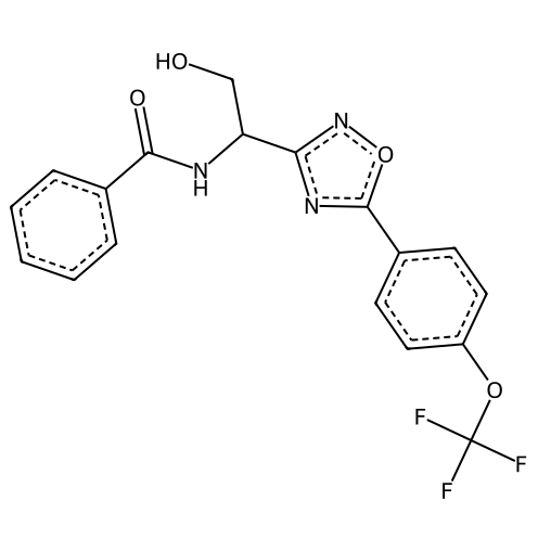 O=C(NC(CO)c1noc(-c2ccc(OC(F)(F)F)cc2)n1)c1ccccc1